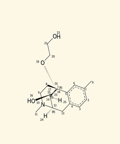 Cc1ccc2c(c1)[C@]13CCN(C)[C@H](C2)[C@H]1[C@H](O)C[C@H](OCCO)C3